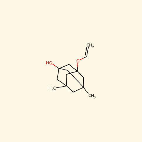 C=COC12CC3(C)CC(C)(CC(O)(C3)C1)C2